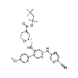 COc1ccc(-c2cnc(Nc3cnc(C#N)cn3)cc2NC[C@H]2CN(C(=O)OC(C)(C)CC(C)(C)C)CCO2)cc1